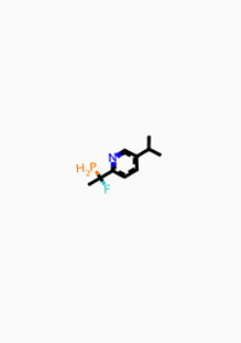 CC(C)c1ccc(C(C)(F)P)nc1